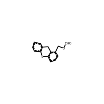 O=COCc1cccc2c1Cc1ccccc1S2